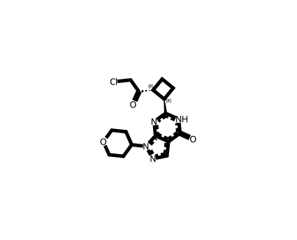 O=C(CCl)[C@@H]1CC[C@H]1c1nc2c(cnn2C2CCOCC2)c(=O)[nH]1